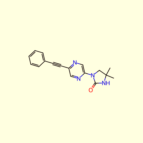 CC1(C)CN(c2cnc(C#Cc3ccccc3)cn2)C(=O)N1